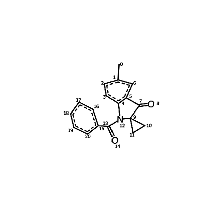 Cc1ccc2c(c1)C(=O)C1(CC1)N2C(=O)c1ccccc1